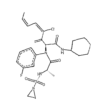 C=C(/C(Cl)=C\C=C/C)[C@@H](C(=O)NC1CCCCC1)N(C(=O)[C@H](C)NS(=O)(=O)N1CC1)c1cccc(F)c1